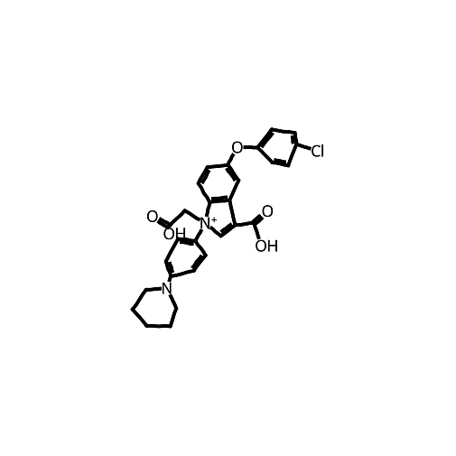 O=C(O)C[N+]1(c2ccc(N3CCCCC3)cc2)C=C(C(=O)O)c2cc(Oc3ccc(Cl)cc3)ccc21